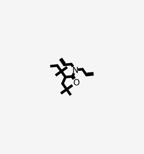 C=CCN(CC=C)C(=O)C(CC(C)(C)C)C(C)(C)CC